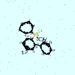 CP(=S)(c1ccccc1)c1ccccc1-c1ccccc1